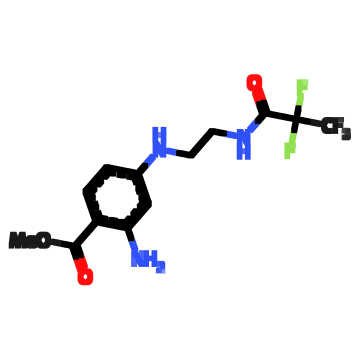 COC(=O)c1ccc(NCCNC(=O)C(F)(F)C(F)(F)F)cc1N